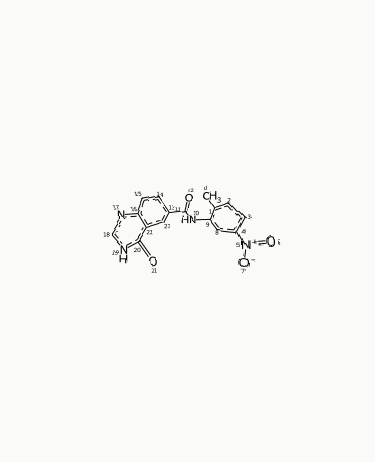 Cc1ccc([N+](=O)[O-])cc1NC(=O)c1ccc2nc[nH]c(=O)c2c1